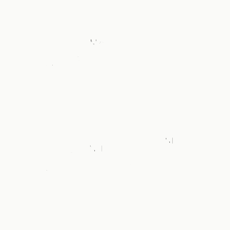 COC(=O)c1ccc(C2CCCCN2)c(NC2CC2)c1